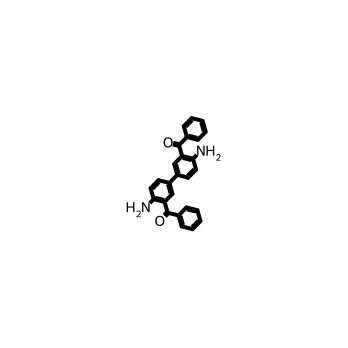 Nc1ccc(-c2ccc(N)c(C(=O)c3ccccc3)c2)cc1C(=O)c1ccccc1